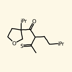 CC(=S)C(CCC(C)C)C(=O)C1(C(C)C)CCOC1